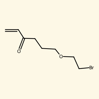 C=CC(=O)CCCOCCBr